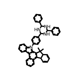 CC1(C)c2c(c3ccccc3c3c4ccccc4n(-c4ccc(C5NC(c6ccccc6)NC(c6ccccc6)N5)cc4)c23)C2C=CC=CC21